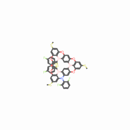 CSc1cc2c3c(c1)Oc1cc4c(cc1B3c1cc3c(cc1O2)Oc1cc(SC)cc2c1B3c1sc3ccc(F)cc3c1O2)B1c2sc3ccc(F)cc3c2Oc2cc(SC)cc(c21)N4c1c(F)cccc1F